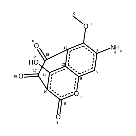 COc1c(N)cc2oc(=O)c3c(O)c2c1C(=O)C3=O